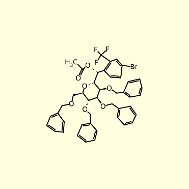 CC(=O)O[C@H](c1ccc(Br)cc1C(F)(F)F)[C@H]1O[C@H](COCc2ccccc2)[C@@H](OCc2ccccc2)[C@H](OCc2ccccc2)[C@@H]1OCc1ccccc1